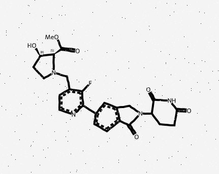 COC(=O)[C@@H]1[C@H](O)CCN1Cc1ccnc(-c2ccc3c(c2)CN(C2CCC(=O)NC2=O)C3=O)c1F